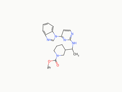 CC(C)OC(=O)N1CCCC(C(C)Nc2nccc(-n3cnc4ccccc43)n2)C1